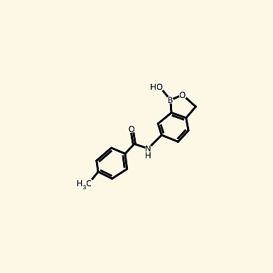 Cc1ccc(C(=O)Nc2ccc3c(c2)B(O)OC3)cc1